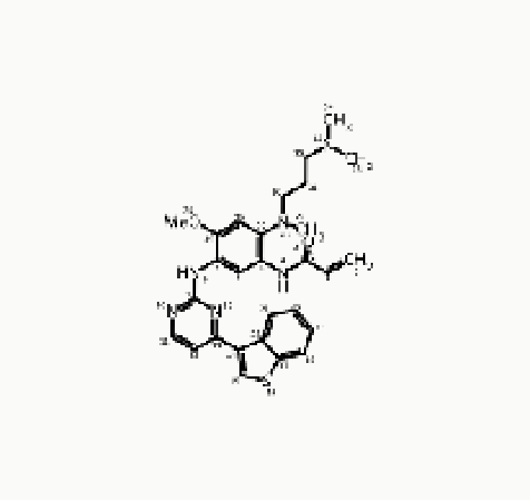 C=CC(=O)Nc1cc(Nc2nccc(-c3csc4ccccc34)n2)c(OC)cc1N(C)CCCN(C)C